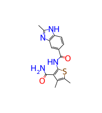 Cc1nc2cc(C(=O)Nc3sc(C)c(C)c3C(N)=O)ccc2[nH]1